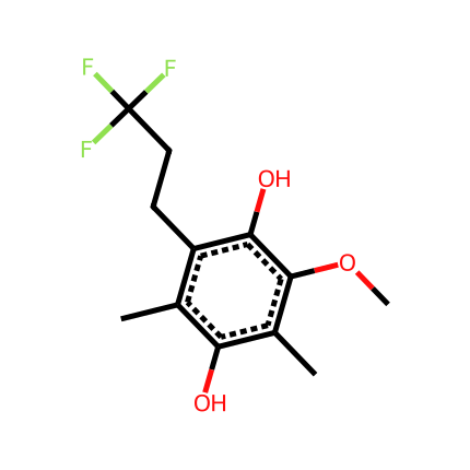 COc1c(C)c(O)c(C)c(CCC(F)(F)F)c1O